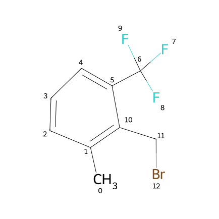 Cc1cccc(C(F)(F)F)c1CBr